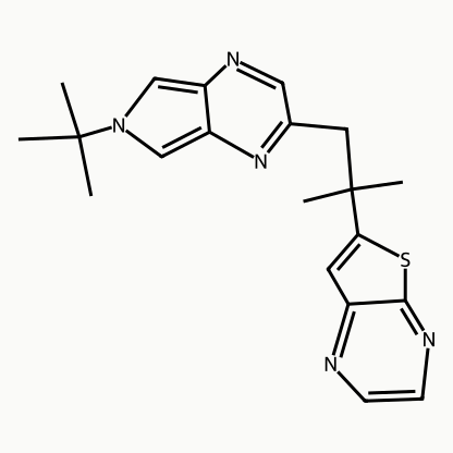 CC(C)(Cc1cnc2cn(C(C)(C)C)cc2n1)c1cc2nccnc2s1